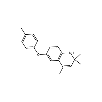 CC1=CC(C)(C)Nc2ccc(Oc3ccc(C)cc3)cc21